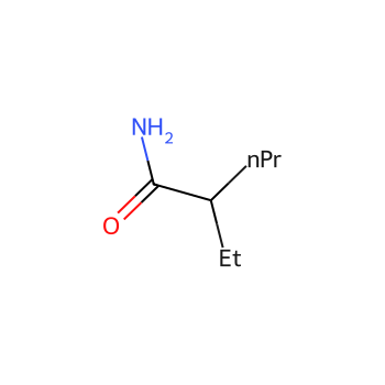 [CH2]CC(CCC)C(N)=O